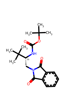 CC(C)(C)OC(=O)N[C@H](CN1C(=O)c2ccccc2C1=O)C(C)(C)C